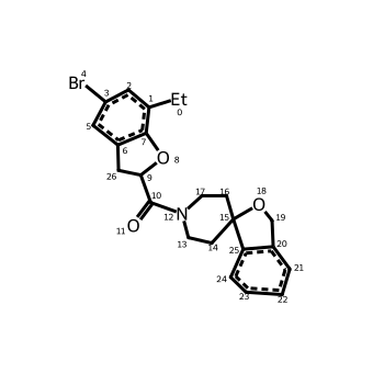 CCc1cc(Br)cc2c1OC(C(=O)N1CCC3(CC1)OCc1ccccc13)C2